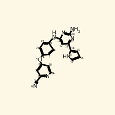 N#Cc1cc(Oc2ccc(Nc3cc(-c4ccc[nH]4)nc(N)n3)cc2)ccn1